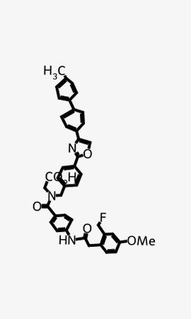 COc1ccc(CC(=O)Nc2ccc(C(=O)N(CC(=O)O)Cc3ccc(-c4nc(-c5ccc(-c6ccc(C)cc6)cc5)co4)cc3)cc2)c(CF)c1